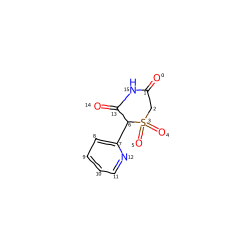 O=C1CS(=O)(=O)C(c2ccccn2)C(=O)N1